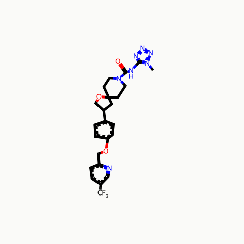 Cn1nnnc1NC(=O)N1CCC2(CC1)CC(c1ccc(OCc3ccc(C(F)(F)F)cn3)cc1)CO2